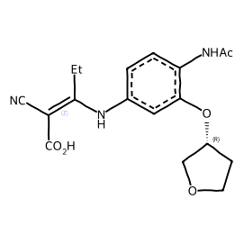 CC/C(Nc1ccc(NC(C)=O)c(O[C@@H]2CCOC2)c1)=C(\C#N)C(=O)O